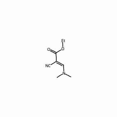 CCOC(=O)C(C#N)=CN(C)C